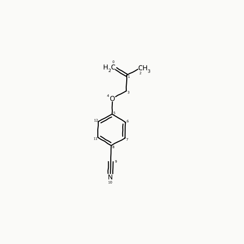 C=C(C)COc1ccc(C#N)cc1